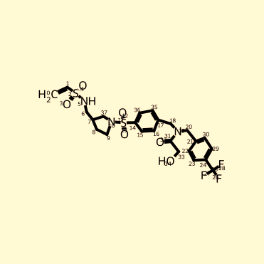 C=CS(=O)(=O)NCC1CCN(S(=O)(=O)c2ccc(CN(Cc3ccc(C(F)(F)F)cc3)C(=O)CO)cc2)C1